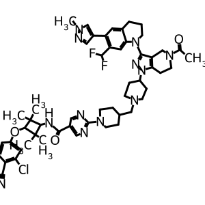 CC(=O)N1CCc2c(c(N3CCCc4cc(-c5cnn(C)c5)c(C(F)F)cc43)nn2C2CCN(CC3CCN(c4ncc(C(=O)NC5C(C)(C)C(Oc6ccc(C#N)c(Cl)c6)C5(C)C)cn4)CC3)CC2)C1